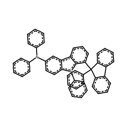 c1ccc(N(c2ccccc2)c2ccc3c(c2)c2cccc(C4(c5ccccc5)c5ccccc5-c5ccccc54)c2n3-c2ccccc2)cc1